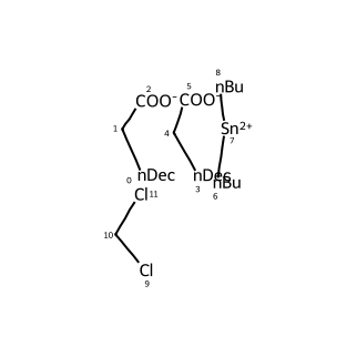 CCCCCCCCCCCC(=O)[O-].CCCCCCCCCCCC(=O)[O-].CCC[CH2][Sn+2][CH2]CCC.ClCCl